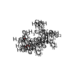 CNC(=N)NCCC[C@H](NC(=O)[C@H](CC(C)C)NC(=O)NNC(=O)[C@H](Cc1ccccc1)NC(=O)[C@@H](NC(=O)[C@H](CC(N)=O)NC(=O)[C@@H](CO)NC(=O)[C@@H](Cc1ccc(O)cc1)NC(C)=O)[C@@H](C)O)C(=O)N[C@@H](Cc1c[nH]c2ccccc12)C(N)=O